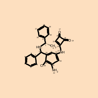 C[C@H](NC(c1ccccc1)c1cc(Nc2cc(=O)c2=O)cc(N)c1Cl)c1ccccc1